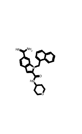 N=C(N)c1ccc2cc(C(=O)NC3CCOCC3)n(Cc3cccc4ccccc34)c2c1